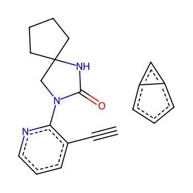 C#Cc1cccnc1N1CC2(CCCC2)NC1=O.c1cc2cc-2c1